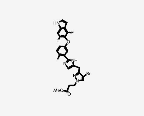 COC(=O)CCn1cc(Br)c(Cc2cnc(-c3cc(Oc4c(F)cc5[nH]ccc5c4F)ccc3F)[nH]2)n1